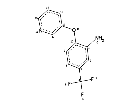 Nc1cc(C(F)(F)F)ccc1Oc1cccnc1